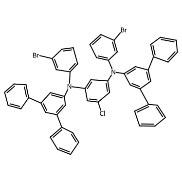 Clc1cc(N(c2cccc(Br)c2)c2cc(-c3ccccc3)cc(-c3ccccc3)c2)cc(N(c2cccc(Br)c2)c2cc(-c3ccccc3)cc(-c3ccccc3)c2)c1